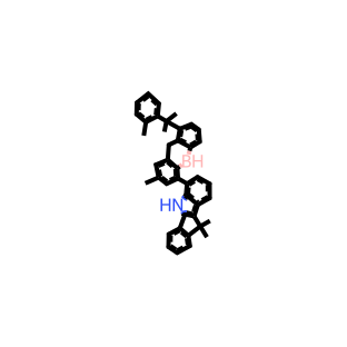 Cc1cc2c(c(-c3cccc4c5c([nH]c34)-c3ccccc3C5(C)C)c1)Bc1cccc(C(C)(C)c3ccccc3C)c1C2